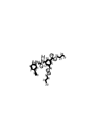 C#Cc1cccc(NC(=O)Nc2cc(COOCCCC)cc(C(=O)OCCCC)c2)c1